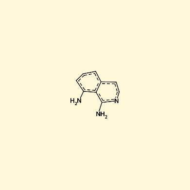 Nc1cccc2ccnc(N)c12